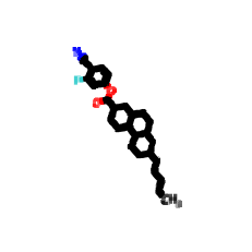 CCCCCC1CCC2C(CCC3CC(C(=O)Oc4ccc(C#N)c(F)c4)CCC32)C1